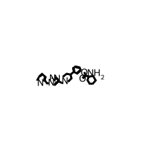 NC1(C(=O)Oc2cccc(C3CCN(Cc4cn(Cc5ccccn5)nn4)CC3)c2)CCCCC1